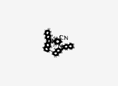 N#Cc1cc(-n2c3cc4ccccc4cc3c3cc4ccccc4cc32)cc(-n2c3cc4ccccc4cc3c3cc4ccccc4cc32)c1